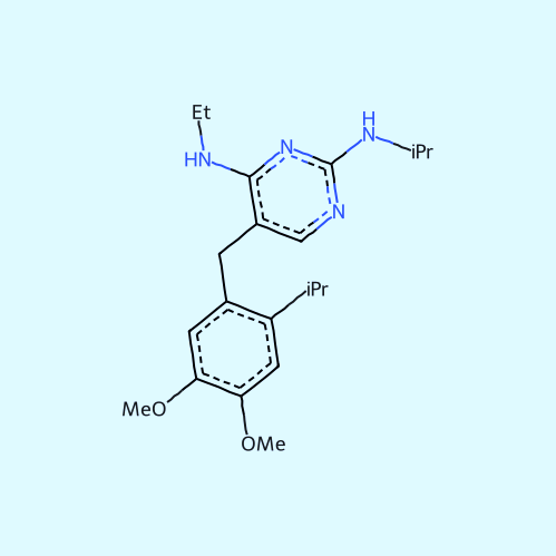 CCNc1nc(NC(C)C)ncc1Cc1cc(OC)c(OC)cc1C(C)C